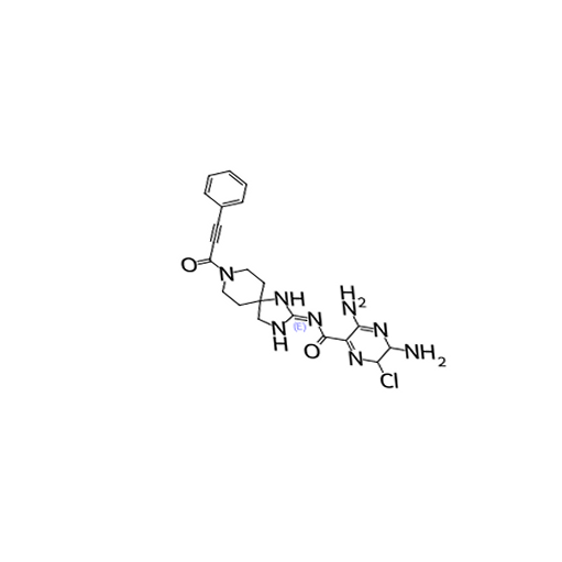 NC1=NC(N)C(Cl)N=C1C(=O)/N=C1\NCC2(CCN(C(=O)C#Cc3ccccc3)CC2)N1